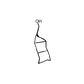 OC1C2C3CCC3C12